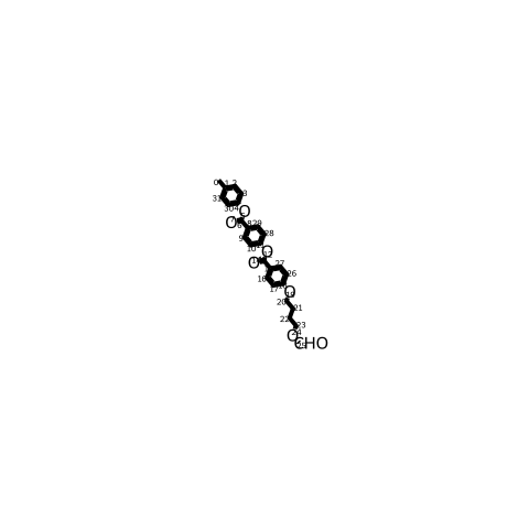 Cc1ccc(OC(=O)c2ccc(OC(=O)c3ccc(OCCCCOC=O)cc3)cc2)cc1